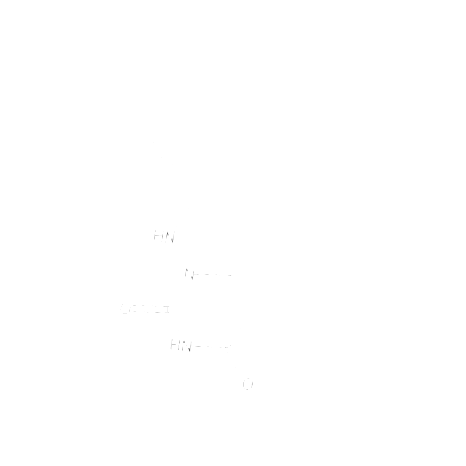 C#CCNn1ccc(=O)[nH]c1=O